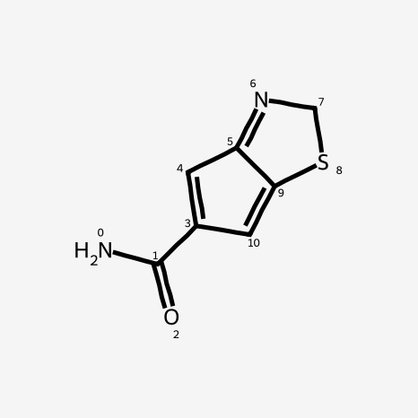 NC(=O)C1=CC2=NCSC2=C1